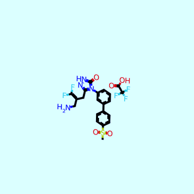 CS(=O)(=O)c1ccc(-c2cccc(-n3c(CC(CN)=C(F)F)n[nH]c3=O)c2)cc1.O=C(O)C(F)(F)F